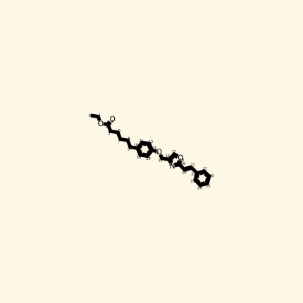 CCOC(=O)CCCCCc1ccc(OCc2coc(/C=C/c3ccccc3)n2)cc1